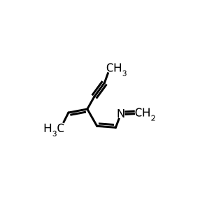 C=N/C=C\C(C#CC)=C/C